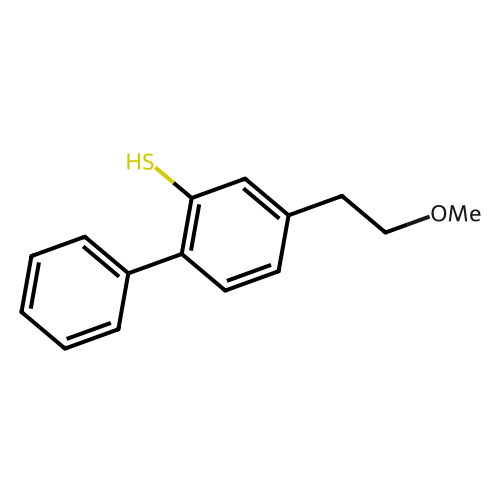 COCCc1ccc(-c2ccccc2)c(S)c1